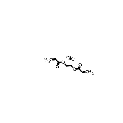 C=CC(=O)OCCOC(=O)C=C.[C-]#[O+]